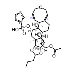 CCCC1O[C@@H]2C[C@H]3[C@@H]4CC/C5=C/COC/C=C\[C@]5(C)[C@H]4[C@@H](OP(=O)(O)n4ccnc4)C[C@]3(C)[C@]2(C(=O)COC(C)=O)O1